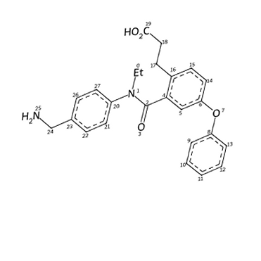 CCN(C(=O)c1cc(Oc2ccccc2)ccc1CCC(=O)O)c1ccc(CN)cc1